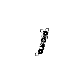 O=S(=O)(c1ccc(Cl)c(Cl)c1)C1CCN(c2nc(Cc3ccc(Cl)cc3)cs2)CC1